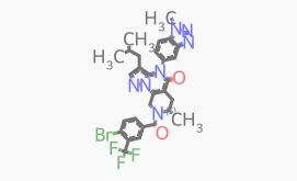 CC(C)Cc1cnn2c3c(c(=O)n(-c4ccc5c(c4)nnn5C)c12)C[C@H](C)N(C(=O)c1ccc(Br)c(C(F)(F)F)c1)C3